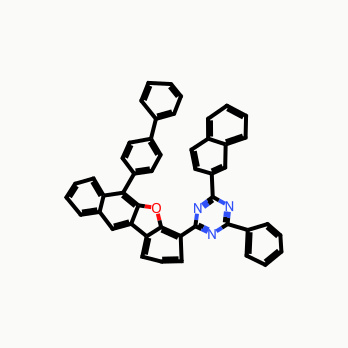 c1ccc(-c2ccc(-c3c4ccccc4cc4c3oc3c(-c5nc(-c6ccccc6)nc(-c6ccc7ccccc7c6)n5)cccc34)cc2)cc1